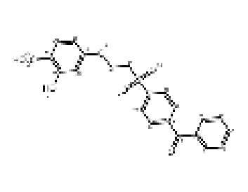 O=C(c1ccccc1)c1ccc(S(=O)(=O)CCOc2ccc(C(=O)O)c(O)c2)cc1